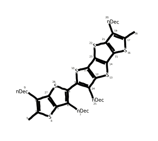 CCCCCCCCCCc1c(C)sc2c(CCCCCCCCCC)c(-c3sc4c(sc5c6sc(C)c(CCCCCCCCCC)c6sc45)c3CCCCCCCCCC)sc12